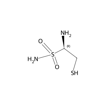 N[C@@H](CS)S(N)(=O)=O